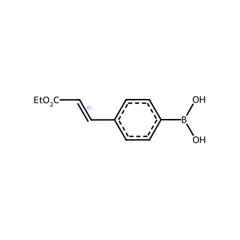 CCOC(=O)/C=C/c1ccc(B(O)O)cc1